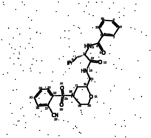 CC(C)C[C@H](NC(=O)c1ccccc1)C(=O)NCC1CN(S(=O)(=O)c2ccccc2C#N)CCO1